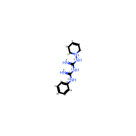 N=C(NC(=N)NN1CC=CCC1)Nc1ccccc1